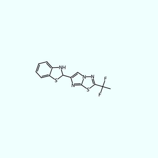 CC(F)(F)c1nn2cc(C3Nc4ccccc4S3)nc2s1